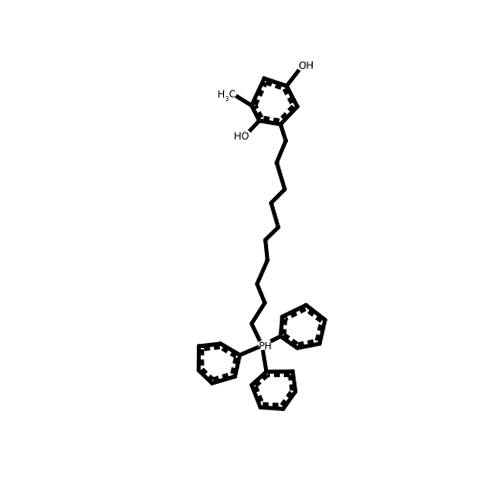 Cc1cc(O)cc(CCCCCCCCCC[PH](c2ccccc2)(c2ccccc2)c2ccccc2)c1O